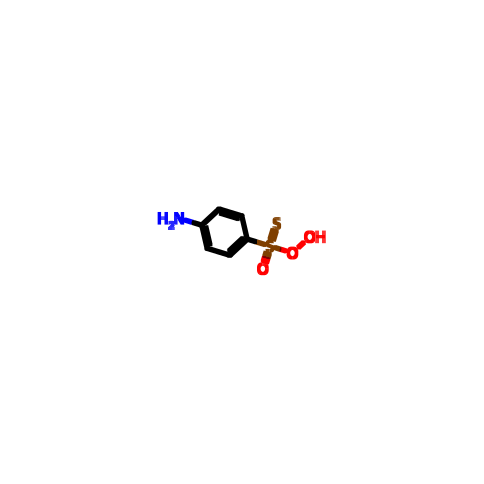 Nc1ccc(S(=O)(=S)OO)cc1